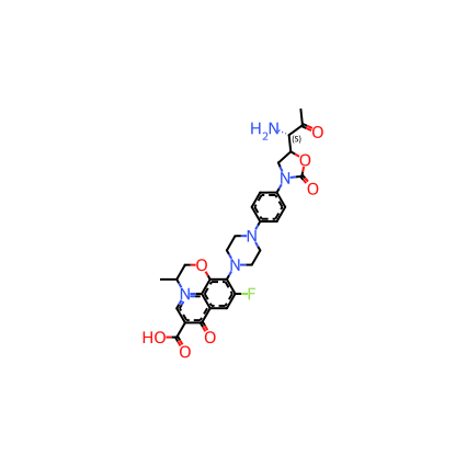 CC(=O)[C@@H](N)C1CN(c2ccc(N3CCN(c4c(F)cc5c(=O)c(C(=O)O)cn6c5c4OCC6C)CC3)cc2)C(=O)O1